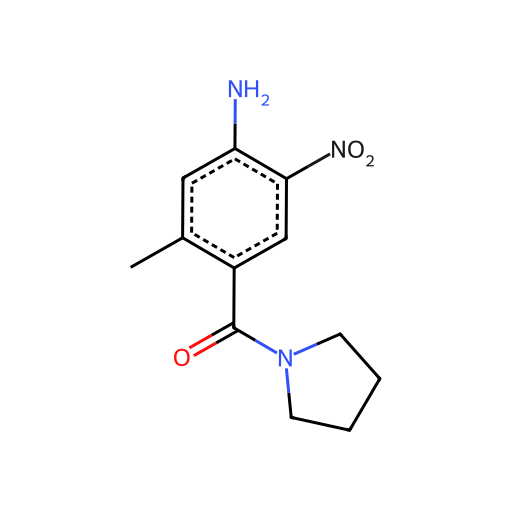 Cc1cc(N)c([N+](=O)[O-])cc1C(=O)N1CCCC1